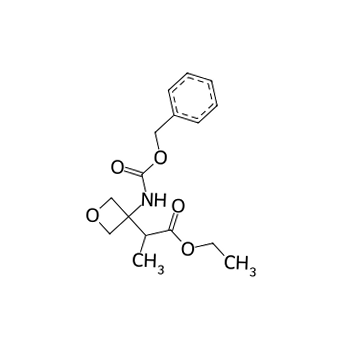 CCOC(=O)C(C)C1(NC(=O)OCc2ccccc2)COC1